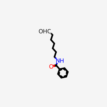 O=CCCCCCCNC(=O)c1ccccc1